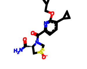 NC(=O)[C@H]1C[S+]([O-])CN1C(=O)c1ccc(C2CC2)c(OCC2CC2)n1